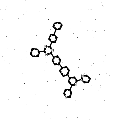 c1ccc(-c2ccc(-c3nc(-c4ccccc4)nc(-c4ccc(-c5ccc(-c6cc(-c7ccncc7)nc(-c7ccccn7)c6)cc5)cc4)n3)cc2)cc1